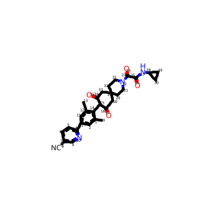 Cc1cc(-c2ccc(C#N)cn2)cc(C)c1C1C(=O)CC2(CCN(C(=O)C(=O)NC3CC3)CC2)CC1=O